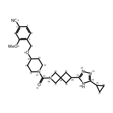 COc1cc(C#N)ccc1COC1CCN(C(=O)N2CC3(CC(c4nnc(C5CC5)[nH]4)C3)C2)CC1